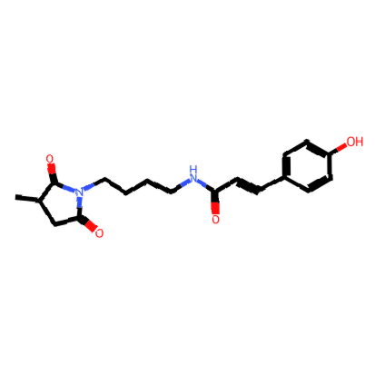 CC1CC(=O)N(CCCCNC(=O)C=Cc2ccc(O)cc2)C1=O